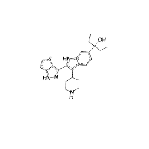 CCC(O)(CC)c1ccc2c(C3CCNCC3)c(-c3n[nH]c4ccsc34)[nH]c2c1